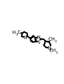 CC1CCC(c2ccc3sc(CC4CCN(C)CC4C)nc3c2)=NC1